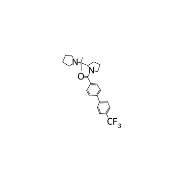 CC(C)(C1CCCN1C(=O)c1ccc(-c2ccc(C(F)(F)F)cc2)cc1)N1CCCC1